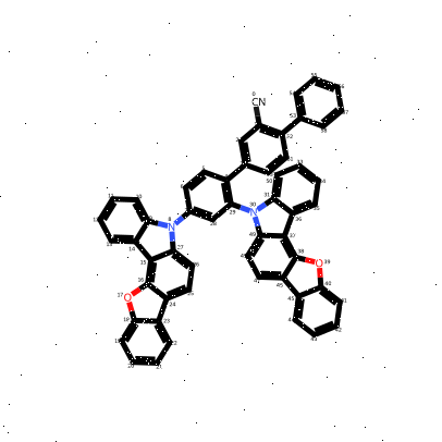 N#Cc1cc(-c2ccc(-n3c4ccccc4c4c5oc6ccccc6c5ccc43)cc2-n2c3ccccc3c3c4oc5ccccc5c4ccc32)ccc1-c1ccccc1